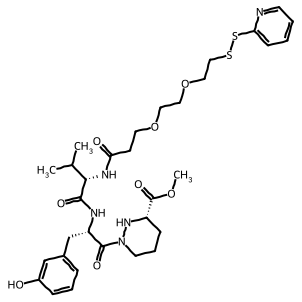 COC(=O)[C@@H]1CCCN(C(=O)[C@H](Cc2cccc(O)c2)NC(=O)[C@@H](NC(=O)CCOCCOCCSSc2ccccn2)C(C)C)N1